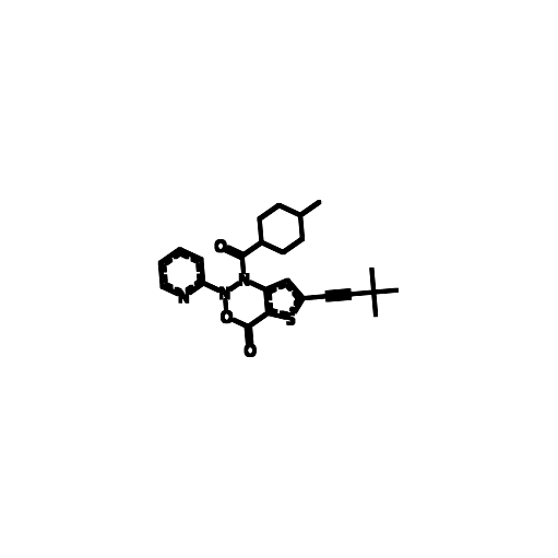 CC1CCC(C(=O)N2c3cc(C#CC(C)(C)C)sc3C(=O)ON2c2ccccn2)CC1